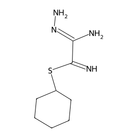 N=C(SC1CCCCC1)C(N)=NN